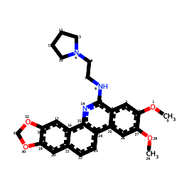 COc1cc2c(NCCN3CCCC3)nc3c4cc5c(cc4ccc3c2cc1OC)OCO5